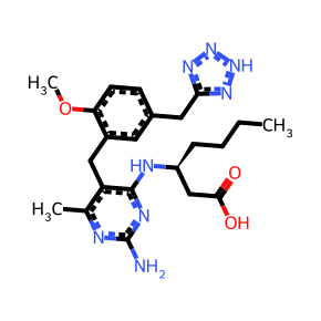 CCCC[C@@H](CC(=O)O)Nc1nc(N)nc(C)c1Cc1cc(Cc2nn[nH]n2)ccc1OC